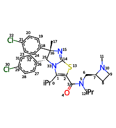 CC(C)C1=C(C(=O)N(C[C@@H]2CCN2C)C(C)C)SC2=N[C@@](C)(c3ccc(Cl)cc3)[C@@H](c3ccc(Cl)cc3)N21